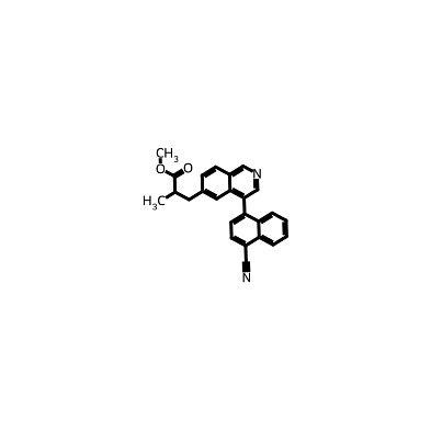 COC(=O)C(C)Cc1ccc2cncc(-c3ccc(C#N)c4ccccc34)c2c1